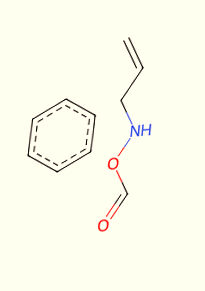 C=CCNOC=O.c1ccccc1